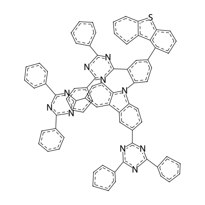 c1ccc(-c2nc(-c3ccccc3)nc(-c3ccc4c(c3)c3cc(-c5nc(-c6ccccc6)nc(-c6ccccc6)n5)ccc3n4-c3ccc(-c4cccc5sc6ccccc6c45)cc3-c3nc(-c4ccccc4)nc(-c4ccccc4)n3)n2)cc1